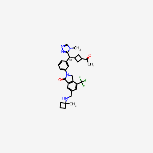 CC(=O)C1CC([C@@H](c2cccc(N3Cc4c(cc(CNC5(C)CCC5)cc4C(F)(F)F)C3=O)c2)c2nncn2C)C1